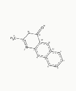 CC1=Nc2cc3ccccc3cc2C(=O)C1